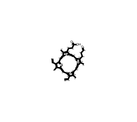 C=CC1=C(C)c2cc3[nH]c(cc4nc(cc5[nH]c(cc1n2)c(C)c5CCC(=O)O)C(CCC=O)=C4C)c(C)c3C=C